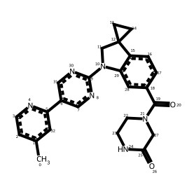 Cc1ccnc(-c2cnc(N3CC4(CC4)c4ccc(C(=O)N5CCNC(=O)C5)cc43)nc2)c1